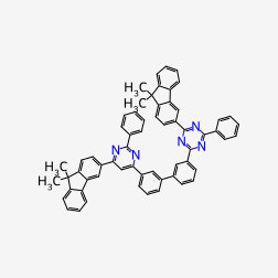 CC1(C)c2ccccc2-c2cc(-c3cc(-c4cccc(-c5cccc(-c6nc(-c7ccccc7)nc(-c7ccc8c(c7)-c7ccccc7C8(C)C)n6)c5)c4)nc(-c4ccccc4)n3)ccc21